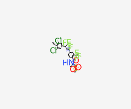 C=Cc1c(Cl)cc(C(/C=C(\F)c2ccc(C(=O)NC(C)CS(=O)(=O)CC)c(C(F)(F)F)c2)C(F)(F)F)cc1Cl